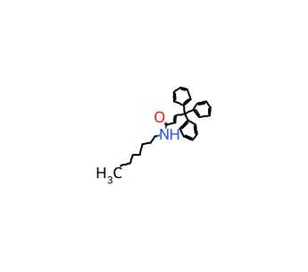 CCCCCCCCNC(=O)C=CC(c1ccccc1)(c1ccccc1)c1ccccc1